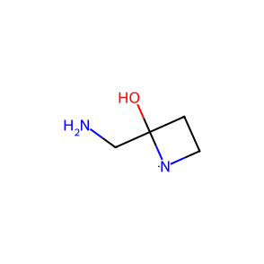 NCC1(O)CC[N]1